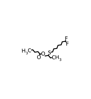 CCCCC(=O)OCC(CC)SCCCCCCC(F)F